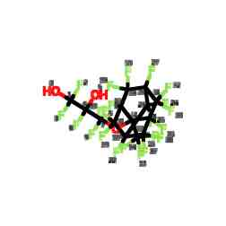 OC(F)(F)C(O)(F)C(F)(F)OC1(C(F)(F)F)C2(F)C(F)(F)C3(F)C(F)(F)C(F)(C2(F)F)C(F)(F)C1(F)C3(F)F